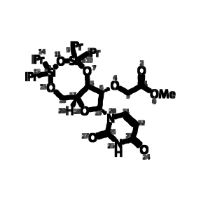 COC(=O)CO[C@H]1C2O[Si](C(C)C)(C(C)C)O[Si](C(C)C)(C(C)C)OC[C@H]2O[C@H]1n1ccc(=O)[nH]c1=O